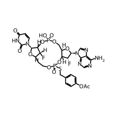 CC(=O)Oc1ccc(CSP2(=O)OCC[C@H]3O[C@@H](n4ccc(=O)[nH]c4=O)[C@H](OP(=O)(O)OC[C@H]4O[C@@H](n5cnc6c(N)ncnc65)[C@H](F)[C@@H]4O2)[C@@H]3F)cc1